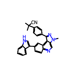 Cn1nc(-c2ccc(C(C)(C)C#N)cc2)c2c3cc(-c4c[nH]c5ccccc45)ccc3ncc21